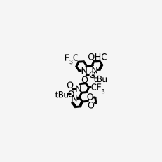 CC(C)(C)OC(=O)N1CCC(C(F)(F)F)CC1c1ncccc1C1OCCO1.CC(C)(C)OC(=O)N1CCC(C(F)(F)F)CC1c1ncccc1C=O